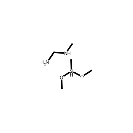 CNCN.CO[SiH](C)OC